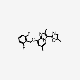 Cc1cc(OCc2c(F)cccc2F)c2nc(C)c(-c3ncc(C)o3)n2c1